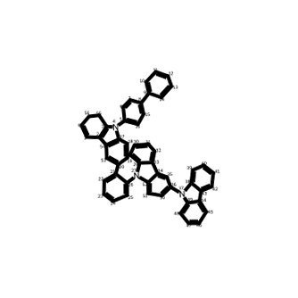 C1=Cc2c(n(-c3ccc(-c4ccccc4)cc3)c3ccc(-c4ccccc4-n4c5ccccc5c5cc(-n6c7ccccc7c7ccccc76)ccc54)cc23)CC1